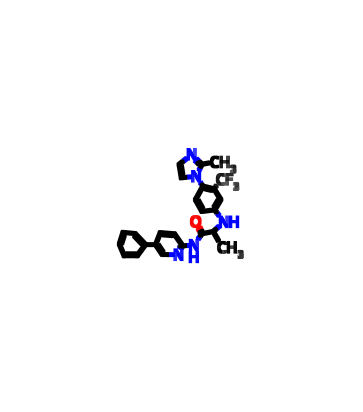 Cc1nccn1-c1ccc(NC(C)C(=O)Nc2ccc(-c3ccccc3)cn2)cc1C(F)(F)F